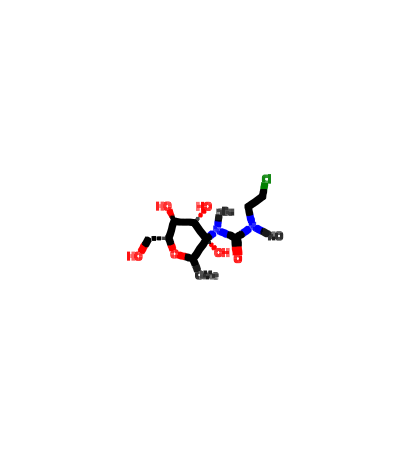 CCCCN(C(=O)N(CCCl)N=O)[C@@]1(O)C(OC)O[C@H](CO)[C@@H](O)[C@@H]1O